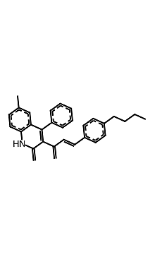 C=C(/C=C/c1ccc(CCCC)cc1)C1=C(c2ccccc2)c2cc(C)ccc2NC1=C